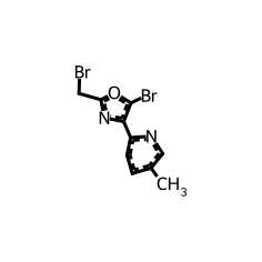 Cc1ccc(-c2nc(CBr)oc2Br)nc1